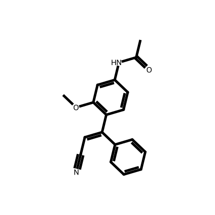 COc1cc(NC(C)=O)ccc1C(=CC#N)c1ccccc1